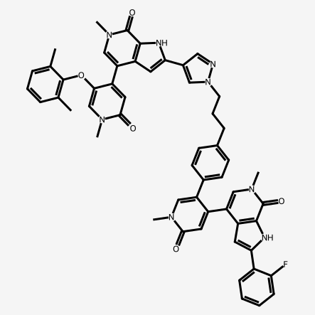 Cc1cccc(C)c1Oc1cn(C)c(=O)cc1-c1cn(C)c(=O)c2[nH]c(-c3cnn(CCCc4ccc(-c5cn(C)c(=O)cc5-c5cn(C)c(=O)c6[nH]c(-c7ccccc7F)cc56)cc4)c3)cc12